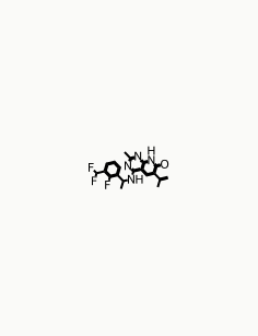 C=C(C)c1cc2c(NC(C)c3cccc(C(F)F)c3F)nc(C)nc2[nH]c1=O